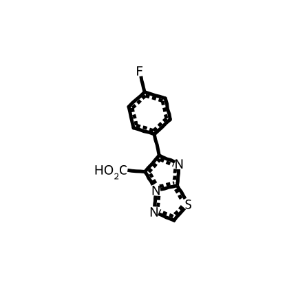 O=C(O)c1c(-c2ccc(F)cc2)nc2scnn12